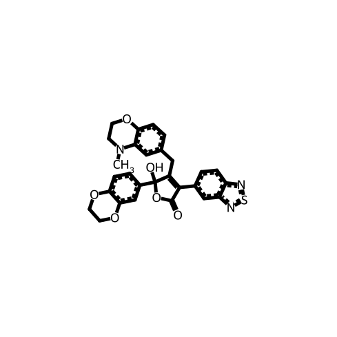 CN1CCOc2ccc(CC3=C(c4ccc5nsnc5c4)C(=O)OC3(O)c3ccc4c(c3)OCCO4)cc21